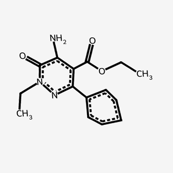 CCOC(=O)c1c(-c2ccccc2)nn(CC)c(=O)c1N